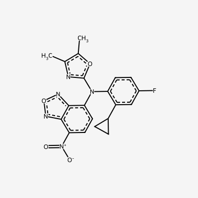 Cc1nc(N(c2ccc(F)cc2C2CC2)c2ccc([N+](=O)[O-])c3nonc23)oc1C